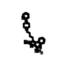 CCn1nc2c(N)nc3ccccc3c2c1CCCCN1CCN(c2ccccn2)CC1